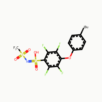 CCC(C)c1ccc(Oc2c(F)c(F)c(S(=O)(O)=NS(=O)(=O)C(F)(F)F)c(F)c2F)cc1